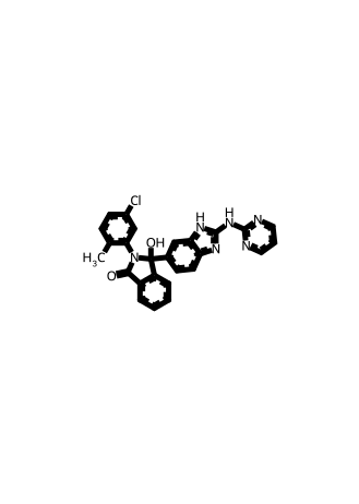 Cc1ccc(Cl)cc1N1C(=O)c2ccccc2C1(O)c1ccc2nc(Nc3ncccn3)[nH]c2c1